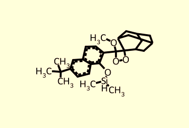 COC1(c2ccc3cc(C(C)(C)C)ccc3c2O[SiH](C)C)OOC12C1CC3CC(C1)CC2C3